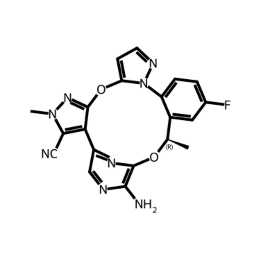 C[C@H]1Oc2nc(cnc2N)-c2c(nn(C)c2C#N)Oc2ccnn2-c2ccc(F)cc21